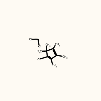 CC1=C(C)C(C)(C)[C]([Zr])=C1C.ClCCl